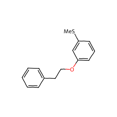 CSc1cccc(OCCc2ccccc2)c1